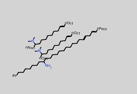 CCCCCC=CCC=CCCCCCCCCCCCC(N)CCCCCCCC(C)C.CCCCCCCCC=CCCCCCCCC(CCCCCCCC)N(C)C.CCCCCCCCC=CCCCCCCCC(CCCCCCCCC)N(C)C